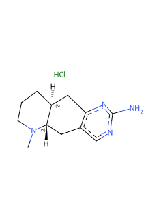 CN1CCC[C@H]2Cc3nc(N)ncc3C[C@@H]21.Cl